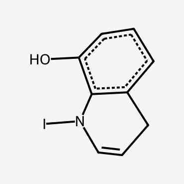 Oc1cccc2c1N(I)C=CC2